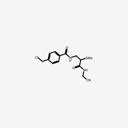 CSC(CNC(=O)c1ccc(CCl)cc1)C(=O)NCC#N